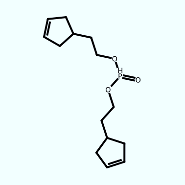 O=[PH](OCCC1CC=CC1)OCCC1CC=CC1